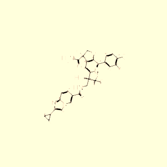 C[C@]1(C(N)=O)COc2c1cc(C(O)(CNC(=O)c1ccc3nc(C4CC4)cn3c1)C(F)(F)F)nc2-c1ccc(F)c(Cl)c1